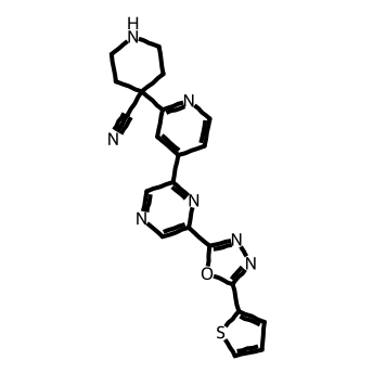 N#CC1(c2cc(-c3cncc(-c4nnc(-c5cccs5)o4)n3)ccn2)CCNCC1